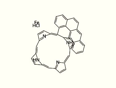 C1=Cc2cc3ccc([nH]3)c(-c3cccc4ccc5cc6ccccc6cc5c34)c3nc(cc4ccc(cc1n2)[nH]4)C=C3.Cl.[Fe]